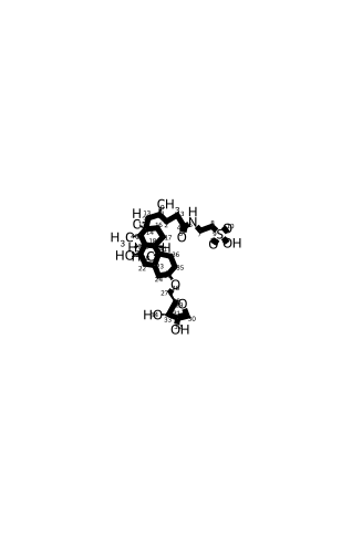 C[C@@H](CCC(=O)NCCS(=O)(=O)O)C[C@@]1(C)CC[C@H]2[C@@H]([C@@H](O)CC3C[C@H](OC[C@H]4OC=C(O)[C@@H]4O)CC[C@@]32C)[C@@H]1C